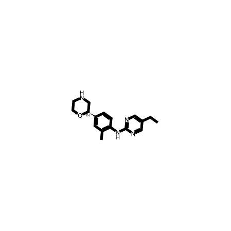 CCc1cnc(Nc2ccc([C@H]3CNCCO3)cc2C)nc1